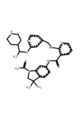 CC(=O)N1CC(C)(C)c2ccc(NC(=O)c3cccnc3NCc3ccnc(OC(C)C4CCNCC4)c3)cc21